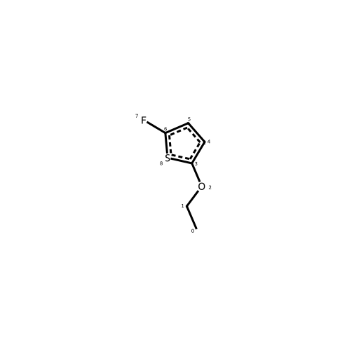 CCOc1[c]cc(F)s1